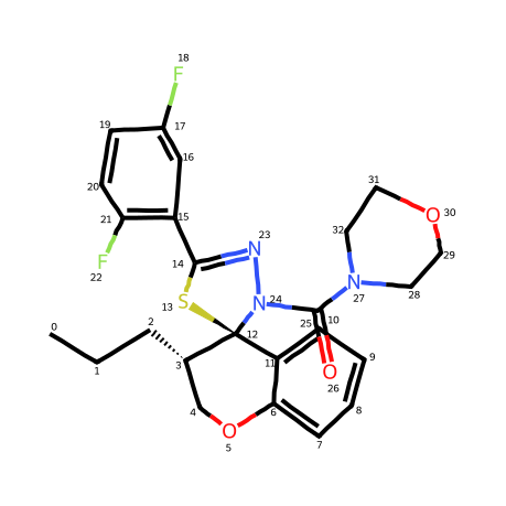 CCC[C@H]1COc2ccccc2[C@]12SC(c1cc(F)ccc1F)=NN2C(=O)N1CCOCC1